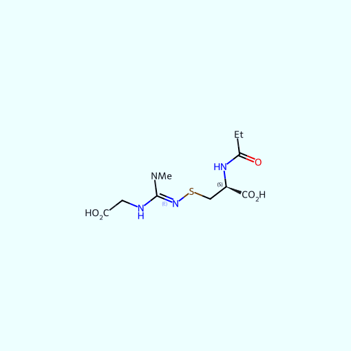 CCC(=O)N[C@H](CS/N=C(\NC)NCC(=O)O)C(=O)O